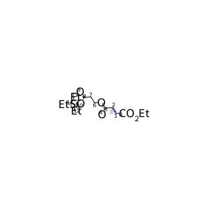 CCOC(=O)/C=C/C(=O)OCCC(=O)O[Si](CC)(CC)CC